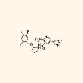 Cn1cc(-c2cnc(N)c(C(=O)NC3CCCC3OCc3cc(F)c(F)cc3F)c2)cn1